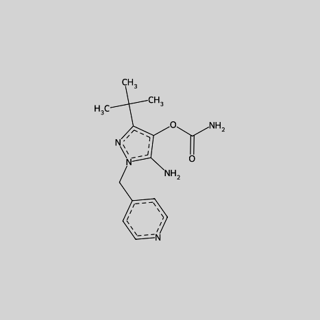 CC(C)(C)c1nn(Cc2ccncc2)c(N)c1OC(N)=O